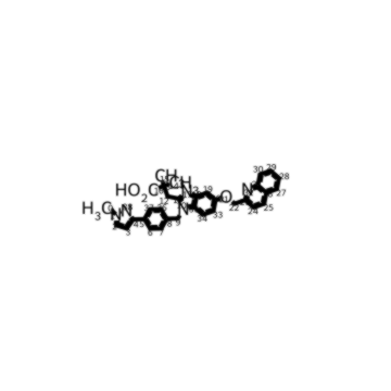 Cn1ccc(-c2ccc(Cn3c(CC(C)(C)C(=O)O)nc4cc(OCc5ccc6ccccc6n5)ccc43)cc2)n1